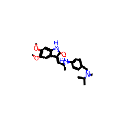 COc1cc2c(cc1OC)C(=CC(C)Nc1ccc(CN(C)C(C)C)cc1)C(=O)N2